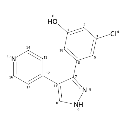 Oc1cc(Cl)cc(-c2n[nH]cc2-c2ccncc2)c1